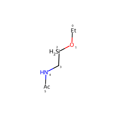 CCO[SiH2]CNC(C)=O